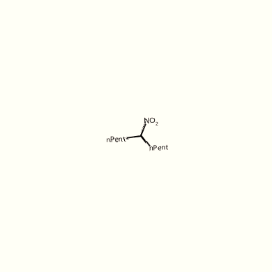 CCCCCC(CCCCC)[N+](=O)[O-]